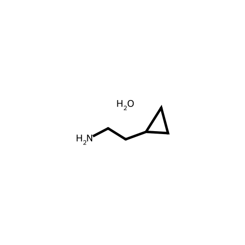 NCCC1CC1.O